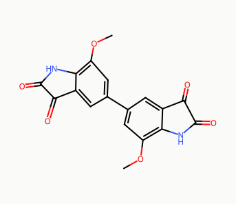 COc1cc(-c2cc(OC)c3c(c2)C(=O)C(=O)N3)cc2c1NC(=O)C2=O